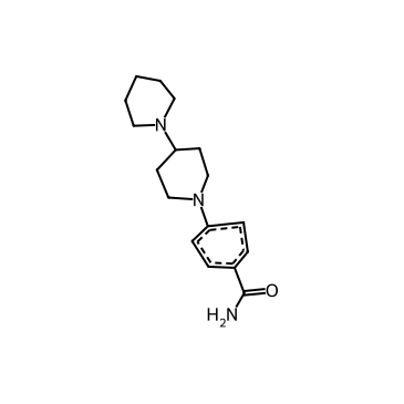 NC(=O)c1ccc(N2CCC(N3CCCCC3)CC2)cc1